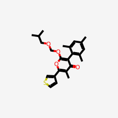 Cc1cc(C)c(-c2c(OCOCC(C)C)oc(-c3ccsc3)c(C)c2=O)c(C)c1